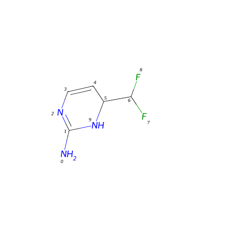 NC1=NC=CC(C(F)F)N1